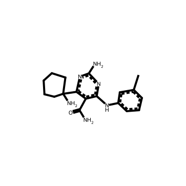 Cc1cccc(Nc2nc(N)nc(C3(N)CCCCC3)c2C(N)=O)c1